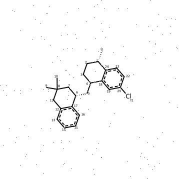 C[C@H]1CCC(C[C@H]2CC(C)(C)Cc3ccccc32)c2cc(Cl)ccc21